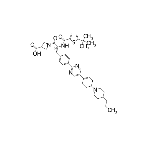 CCCC1CCN(C2CC=C(c3cnc(-c4ccc(C[C@H](NC(=O)c5ccc(C(C)(C)C)s5)C(=O)N5CC(C(=O)O)C5)cc4)nc3)CC2)CC1